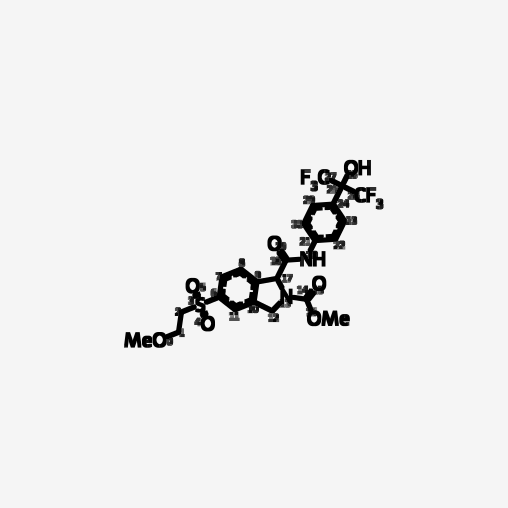 COCCS(=O)(=O)c1ccc2c(c1)CN(C(=O)OC)C2C(=O)Nc1ccc(C(O)(C(F)(F)F)C(F)(F)F)cc1